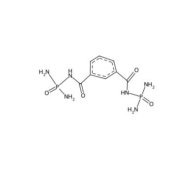 NP(N)(=O)NC(=O)c1cccc(C(=O)NP(N)(N)=O)c1